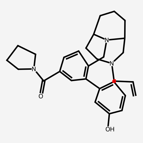 C=CCN1CCC2CCCC(C1)N2Cc1ccc(C(=O)N2CCCC2)cc1-c1cccc(O)c1